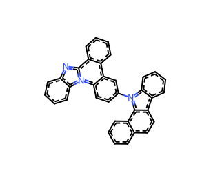 c1ccc2c(c1)ccc1c3ccccc3n(-c3ccc4c(c3)c3ccccc3c3nc5ccccc5n43)c21